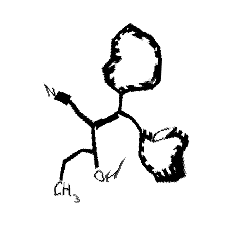 CCC(O)C(C#N)=C(c1ccccc1)c1ccccc1